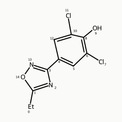 CCc1nc(-c2cc(Cl)c(O)c(Cl)c2)no1